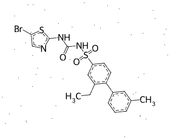 CCc1cc(S(=O)(=O)NC(=O)Nc2ncc(Br)s2)ccc1-c1cccc(C)c1